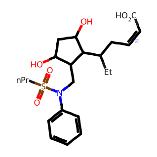 CCCS(=O)(=O)N(CC1C(O)CC(O)C1C(CC)C/C=C\C(=O)O)c1ccccc1